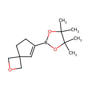 CC1(C)OB(C2=CC3(CC2)COC3)OC1(C)C